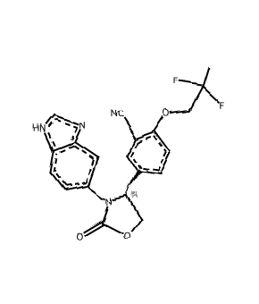 CC(F)(F)COc1ccc([C@H]2COC(=O)N2c2ccc3[nH]cnc3c2)cc1C#N